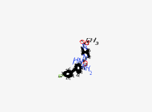 COC(=O)N1CC2CN(C(=O)Nc3cc(-c4ccc(F)cc4)ccc3N)CC2C1